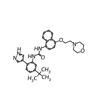 CC(C)(C)c1ccc(-c2cn[nH]c2)c(NC(=O)Nc2ccc(OCCN3CCOCC3)c3ccccc23)c1